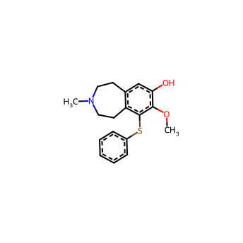 COc1c(O)cc2c(c1Sc1ccccc1)CCN(C)CC2